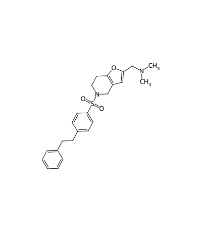 CN(C)Cc1cc2c(o1)CCN(S(=O)(=O)c1ccc(CCc3ccccc3)cc1)C2